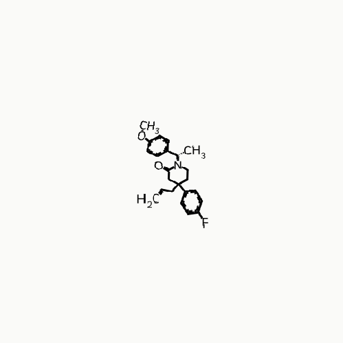 C=CCC1(c2ccc(F)cc2)CCN([C@@H](C)c2ccc(OC)cc2)C(=O)C1